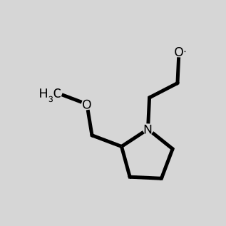 COCC1CCCN1CC[O]